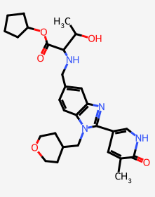 Cc1cc(-c2nc3cc(CNC(C(=O)OC4CCCC4)C(C)O)ccc3n2CC2CCOCC2)c[nH]c1=O